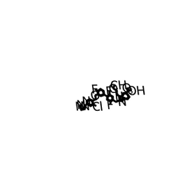 COCCn1c(Cc2cc(F)c(-c3ccc(F)c(OCc4cnc(-n5ccnn5)cc4Cl)c3)cc2F)nc2ccc(C(=O)O)cc21